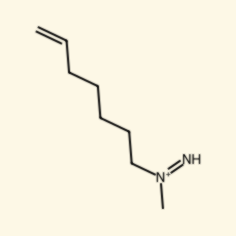 C=CCCCCC[N+](C)=N